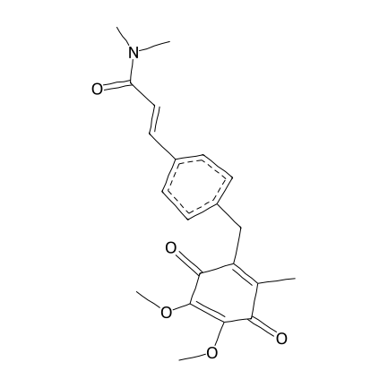 COC1=C(OC)C(=O)C(Cc2ccc(C=CC(=O)N(C)C)cc2)=C(C)C1=O